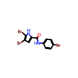 O=C(Nc1ccc(Br)cc1)c1cc(Br)c(Br)[nH]1